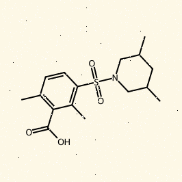 Cc1ccc(S(=O)(=O)N2CC(C)CC(C)C2)c(C)c1C(=O)O